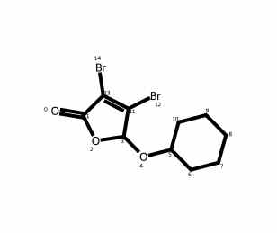 O=C1OC(OC2CCCCC2)C(Br)=C1Br